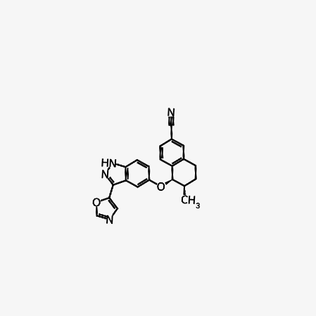 C[C@@H]1CCc2cc(C#N)ccc2[C@@H]1Oc1ccc2[nH]nc(-c3cnco3)c2c1